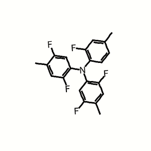 Cc1ccc(N(c2cc(F)c(C)cc2F)c2cc(F)c(C)cc2F)c(F)c1